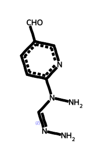 N/N=C\N(N)c1ccc(C=O)cn1